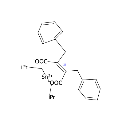 CC(C)[CH2][Sn+2][CH2]C(C)C.O=C([O-])/C(Cc1ccccc1)=C(/Cc1ccccc1)C(=O)[O-]